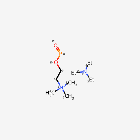 CCN(CC)CC.C[N+](C)(C)CCOP=O